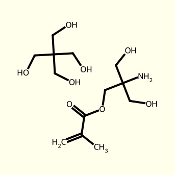 C=C(C)C(=O)OCC(N)(CO)CO.OCC(CO)(CO)CO